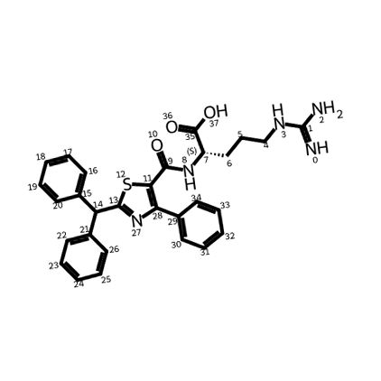 N=C(N)NCCC[C@H](NC(=O)c1sc(C(c2ccccc2)c2ccccc2)nc1-c1ccccc1)C(=O)O